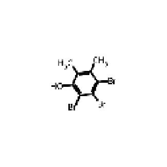 Cc1c(C)c(Br)c(Br)c(Br)c1O